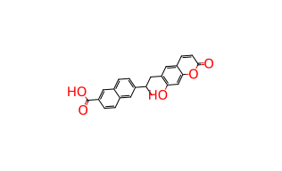 CC(Cc1cc2ccc(=O)oc2cc1O)c1ccc2cc(C(=O)O)ccc2c1